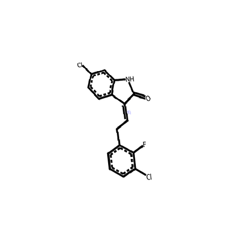 O=C1Nc2cc(Cl)ccc2/C1=C\Cc1cccc(Cl)c1F